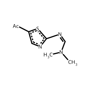 CC(=O)c1cnc(/N=C\N(C)C)s1